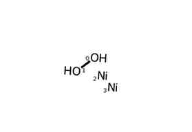 OO.[Ni].[Ni]